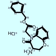 Cl.N[C@H]1COc2ccccc2N(CC(=O)OCc2ccccc2)C1=O